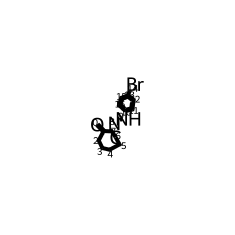 O=C1CCCCCC1=NNc1ccc(Br)cc1